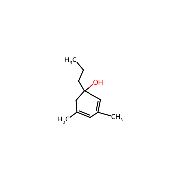 CCCC1(O)C=C(C)C=C(C)C1